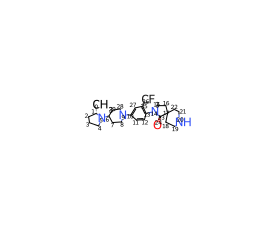 C[C@H]1CCCN1C1CCN(c2ccc(N3CCC4(CCNCC4)C3=O)c(C(F)(F)F)c2)CC1